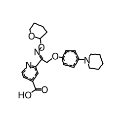 O=C(O)c1ccnc(/C(COc2ccc(N3CCCCC3)cc2)=N/OC2CCCCO2)c1